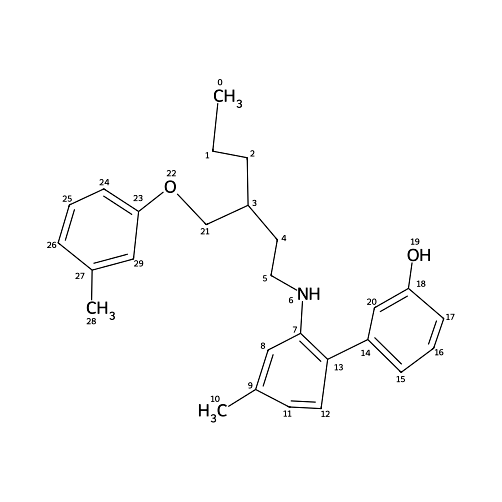 CCCC(CCNc1cc(C)ccc1-c1cccc(O)c1)COc1cccc(C)c1